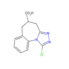 O=C(O)C1Cc2ccccc2-n2c(Cl)nnc2C1